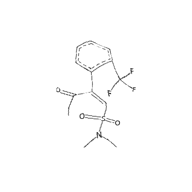 CC(=O)C(=CS(=O)(=O)N(C)C)c1ccccc1C(F)(F)F